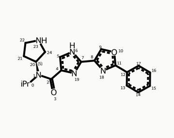 CC(C)N(C(=O)c1c[nH]c(-c2coc(-c3ccccc3)n2)n1)[C@H]1CCNC1